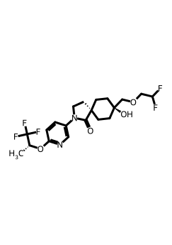 C[C@@H](Oc1ccc(N2CC[C@]3(CC[C@@](O)(COCC(F)F)CC3)C2=O)cn1)C(F)(F)F